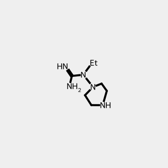 CCN(C(=N)N)N1CCNCC1